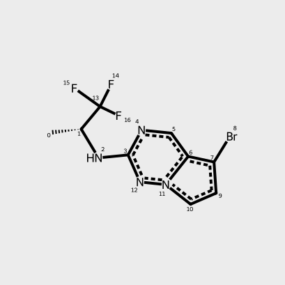 C[C@@H](Nc1ncc2c(Br)ccn2n1)C(F)(F)F